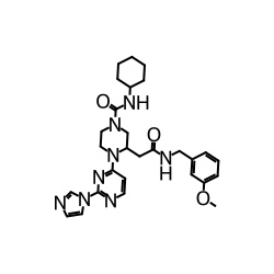 COc1cccc(CNC(=O)CC2CN(C(=O)NC3CCCCC3)CCN2c2ccnc(-n3ccnc3)n2)c1